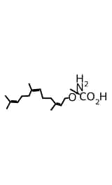 CC(C)=CCCC(C)=CCCC(C)=CCOC(C)(N)C(=O)O